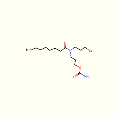 CCCCCCCC(=O)N(CCCO)CCCOC(N)=O